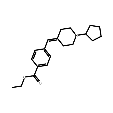 CCOC(=O)c1ccc(C=C2CCN(C3CCCC3)CC2)cc1